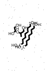 CC(O)CO.CCCCCCCCCCCCCCCCCC(=O)O.CCCCCCCCCCCCCCCCCC(=O)O.OCCO